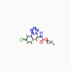 COC(=O)Nc1cc2ccc(Cl)cc2n2nnnc12